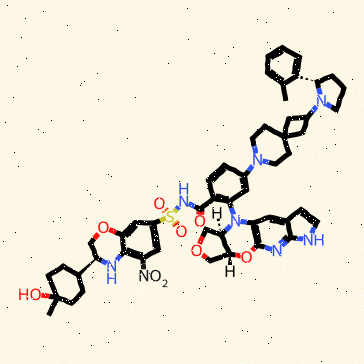 Cc1ccccc1[C@@H]1CCCN1C1CC2(CCN(c3ccc(C(=O)NS(=O)(=O)c4cc5c(c([N+](=O)[O-])c4)N[C@@H](C4CCC(C)(O)CC4)CO5)c(N4c5cc6cc[nH]c6nc5O[C@@H]5COC[C@H]54)c3)CC2)C1